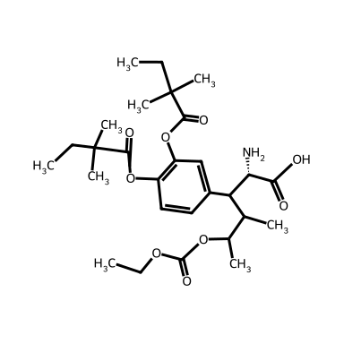 CCOC(=O)OC(C)C(C)C(c1ccc(OC(=O)C(C)(C)CC)c(OC(=O)C(C)(C)CC)c1)[C@H](N)C(=O)O